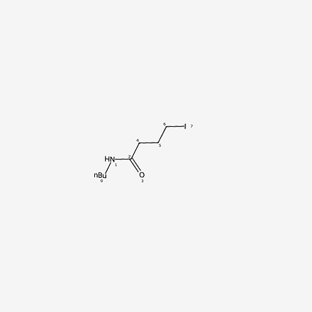 CCCCNC(=O)CCCI